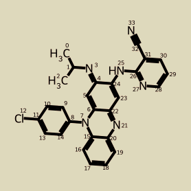 CC(C)N=c1cc2n(-c3ccc(Cl)cc3)c3ccccc3nc-2cc1Nc1ncccc1C#N